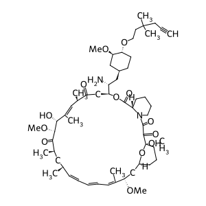 C#CCC(C)(C)CCO[C@@H]1CC[C@@H](C[C@@H](N)[C@@H]2CC(=O)[C@H](C)/C=C(\C)[C@@H](O)[C@@H](OC)C(=O)[C@H](C)C[C@H](C)/C=C/C=C/C=C(\C)[C@@H](OC)C[C@@H]3CC[C@@H](C)[C@@](O)(O3)C(=O)C(=O)N3CCCC[C@H]3C(=O)O2)C[C@H]1OC